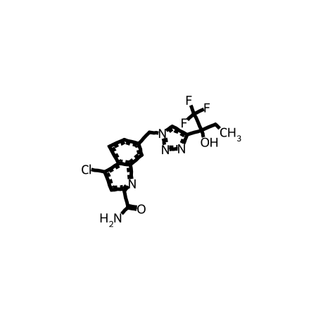 CCC(O)(c1cn(Cc2ccc3c(Cl)cc(C(N)=O)nc3c2)nn1)C(F)(F)F